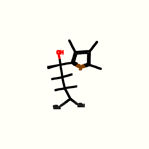 Cc1sc([C@@](C)(O)C(C)(C)C(C)(C)C(C(C)(C)C)C(C)(C)C)c(C)c1C